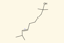 CC(C)/C=C/CCCCC(C)(C)O